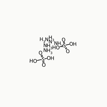 N.N.N.N.N.O=S(=O)(O)O.O=S(=O)(O)O